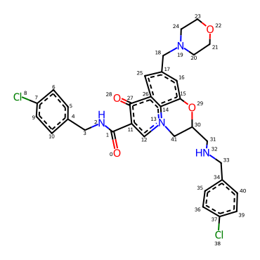 O=C(NCc1ccc(Cl)cc1)c1cn2c3c(cc(CN4CCOCC4)cc3c1=O)OC(CNCc1ccc(Cl)cc1)C2